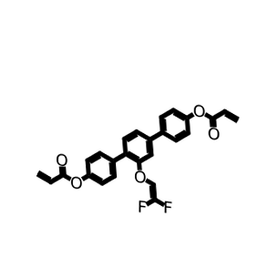 C=CC(=O)Oc1ccc(-c2ccc(-c3ccc(OC(=O)C=C)cc3)c(OC=C(F)F)c2)cc1